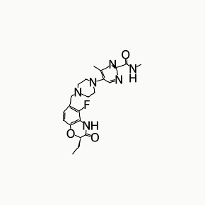 CC[C@H]1Oc2ccc(CN3CCN(c4cnc(C(=O)NC)nc4C)CC3)c(F)c2NC1=O